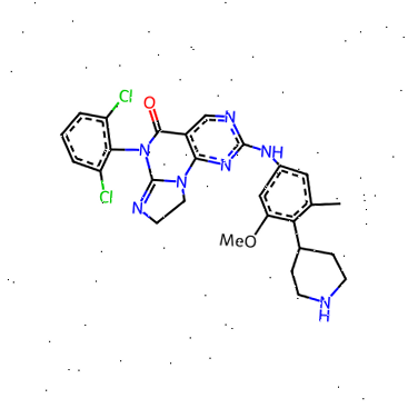 COc1cc(Nc2ncc3c(n2)N2CCN=C2N(c2c(Cl)cccc2Cl)C3=O)cc(C)c1C1CCNCC1